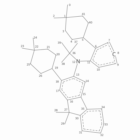 CC1(C)CCC(c2ccccc2N(c2cc3c(cc2C2CCC(C)(C)CC2)C(C)(C)c2ccccc2-3)C(C)(C)C)CC1